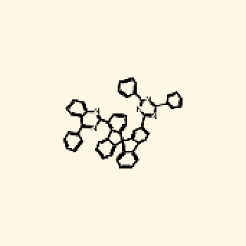 c1ccc(-c2nc(-c3ccccc3)nc(-c3ccc4c(c3)C3(c5ccccc5-4)c4ccccc4-c4c(-c5nc(-c6ccccc6)c6ccccc6n5)cccc43)n2)cc1